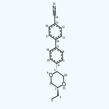 CC[C@H]1CO[C@H](c2ccc(-c3ccc(C#N)cc3)cc2)CO1